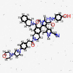 Cc1c(-c2c(C(=O)Nc3ccc(O)cc3)c(C)n(C)c2-c2cc3c(cc2C(=O)N2Cc4ccccc4C[C@H]2C)CN(C(=O)Cc2ccc(N4CC[C@@H](N5CCOCC5)C4)cc2)CC3)cc(C#N)n1C